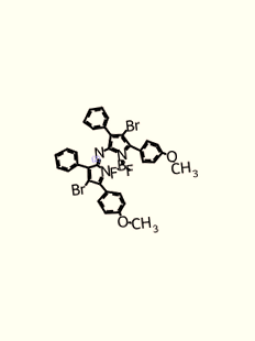 COc1ccc(C2=N/C(=N\c3c(-c4ccccc4)c(Br)c(-c4ccc(OC)cc4)n3B(F)F)C(c3ccccc3)=C2Br)cc1